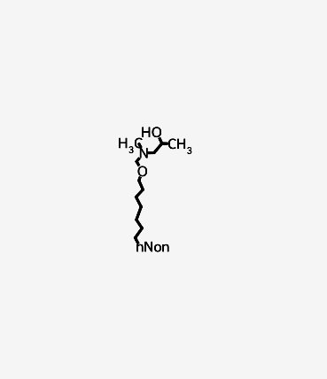 CCCCCCCCCCCCCCCCOCN(C)CC(C)O